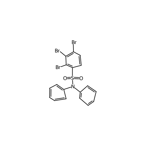 O=S(=O)(c1ccc(Br)c(Br)c1Br)N(c1ccccc1)c1ccccc1